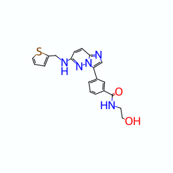 O=C(NCCO)c1cccc(-c2cnc3ccc(NCc4cccs4)nn23)c1